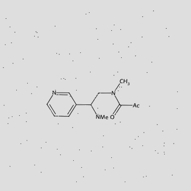 CNC(CN(C)C(=O)C(C)=O)c1cccnc1